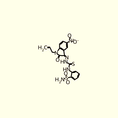 C=CCN1C(=O)C(=NNC(=S)Nc2ccccc2S(N)(=O)=O)c2cc([N+](=O)[O-])ccc21